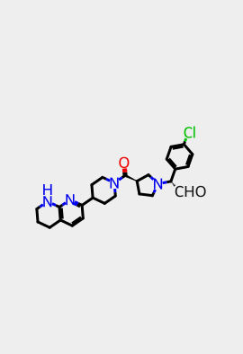 O=C[C@@H](c1ccc(Cl)cc1)N1CC[C@@H](C(=O)N2CCC(c3ccc4c(n3)NCCC4)CC2)C1